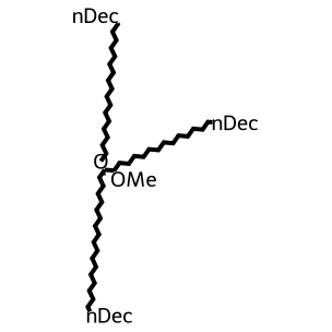 CCCCCCCCCCCCCCCCCCCCCCCCCCCO[C](CCCCCCCCCCCCCCCCCCCCCCCCCCC)C(CCCCCCCCCCCCCCCCCCCCCCC)OC